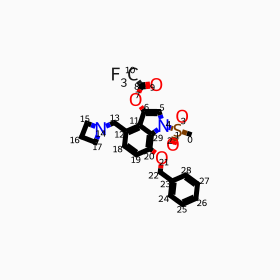 CS(=O)(=O)n1cc(OC(=O)C(F)(F)F)c2c(CN3CCC3)ccc(OCc3ccccc3)c21